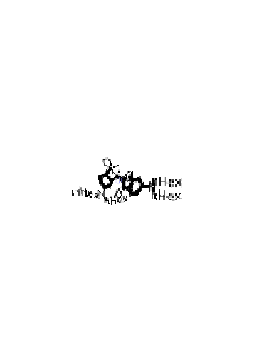 CCCCCCN(CCCCCC)c1ccc2c(c1)O/C(=C1\OC(=O)c3ccc(N(CCCCCC)CCCCCC)cc31)C2=O